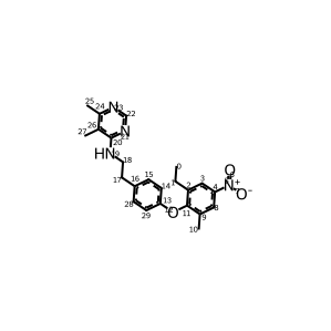 CCc1cc([N+](=O)[O-])cc(C)c1Oc1ccc(CCNc2ncnc(C)c2C)cc1